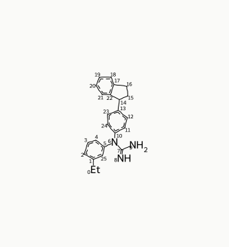 CCc1cccc(N(C(=N)N)c2ccc(C3CCc4ccccc43)cc2)c1